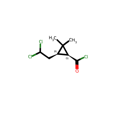 CC1(C)[C@H](CC(Cl)Cl)[C@@H]1C(=O)Cl